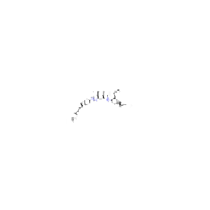 Nc1nc(N)c(/N=N/c2ccc(S(=O)(=O)CCOS(=O)(=O)O)cc2SOOO)cc1/N=N/c1ccc(S(=O)(=O)CCOSOOO)cc1